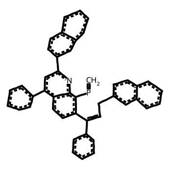 C=Pc1c(/C(=C\Cc2ccc3ccccc3c2)c2ccccc2)ccc2c(-c3ccccc3)cc(-c3ccc4ccccc4c3)nc12